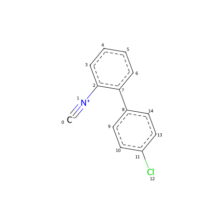 [C-]#[N+]c1ccccc1-c1ccc(Cl)cc1